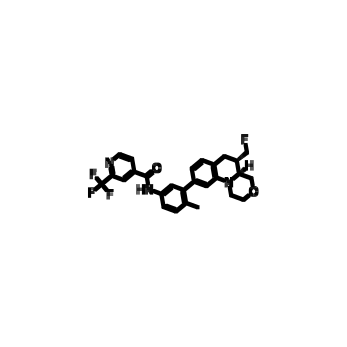 Cc1ccc(NC(=O)c2ccnc(C(F)(F)F)c2)cc1-c1ccc2c(c1)N1CCOC[C@H]1[C@H](CF)C2